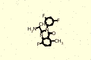 Cc1ccc(F)c2nc(C(C)N)n(-c3cc(F)cc(F)c3)c(=O)c12